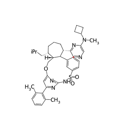 Cc1cccc(C)c1-c1cc2nc(n1)NS(=O)(=O)c1cccc(c1)C1[C@@H](c3cncc(N(C)C4CCC4)n3)CCC[C@@H](CC(C)C)[C@H]1CO2